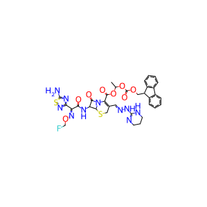 CC(OC(=O)OCC1c2ccccc2-c2ccccc21)OC(=O)C1=C(C=NNC2=NCCCN2)CSC2C(NC(=O)C(=NOCF)c3nsc(N)n3)C(=O)N12